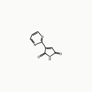 O=C1C=C(c2ncccn2)C(=O)N1